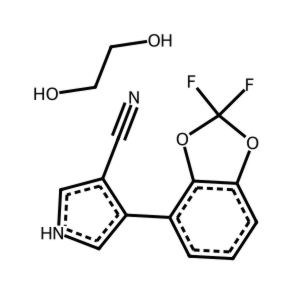 N#Cc1c[nH]cc1-c1cccc2c1OC(F)(F)O2.OCCO